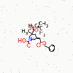 CC(C)(C)OC(=O)C1(C)C/C(=C/C(=O)OCc2ccccc2)CN(C(=O)O)C1